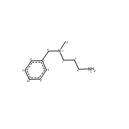 CN(CCCN)Cc1c[c]ccc1